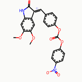 COc1cc2c(cc1OC)/C(=C\c1ccc(OC(=O)Oc3ccc([N+](=O)[O-])cc3)cc1)C(=O)N2